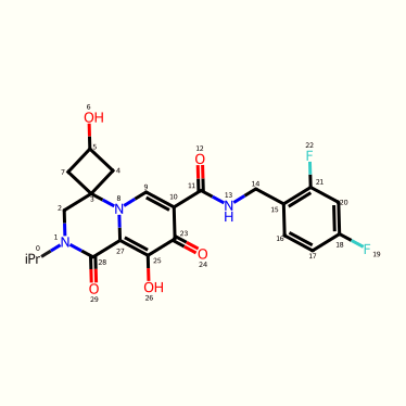 CC(C)N1CC2(CC(O)C2)n2cc(C(=O)NCc3ccc(F)cc3F)c(=O)c(O)c2C1=O